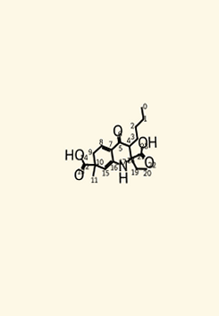 CCCCC1C(=O)C2=CCC(C)(C(=O)O)C=C2NC1(CC)C(=O)O